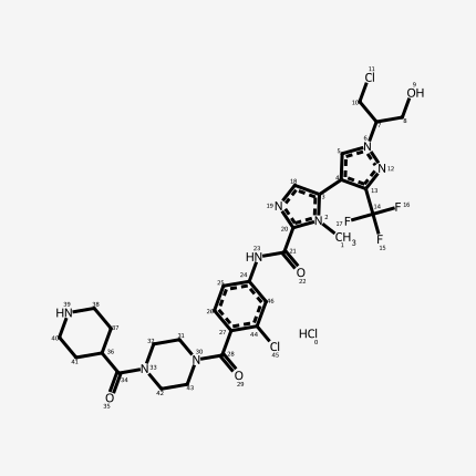 Cl.Cn1c(-c2cn(C(CO)CCl)nc2C(F)(F)F)cnc1C(=O)Nc1ccc(C(=O)N2CCN(C(=O)C3CCNCC3)CC2)c(Cl)c1